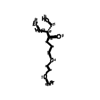 CCCOCCOCCCC(=O)[C@@H](CO)NCC